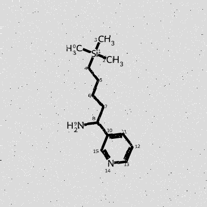 C[Si](C)(C)CCCCC(N)c1cccnc1